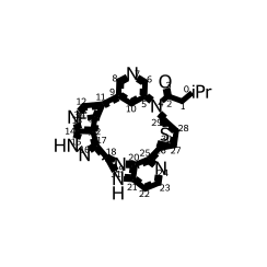 CC(C)CC(=O)n1c2cncc(c2)c2cnc3[nH]nc(c4nc5c(ccnc5c5ccc1s5)[nH]4)c3c2F